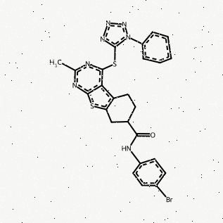 Cc1nc(Sc2nnnn2-c2ccccc2)c2c3c(sc2n1)CC(C(=O)Nc1ccc(Br)cc1)CC3